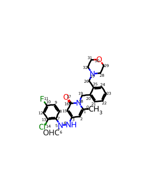 Cc1cc(NN(C=O)c2ccc(F)cc2Cl)cc(=O)n1Cc1ccccc1CN1CCOCC1